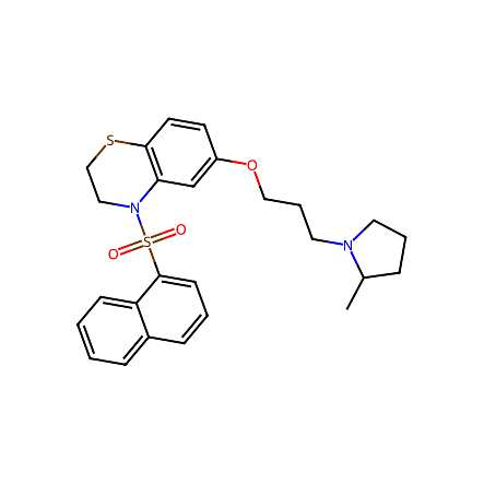 CC1CCCN1CCCOc1ccc2c(c1)N(S(=O)(=O)c1cccc3ccccc13)CCS2